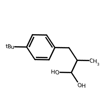 CC(Cc1ccc(C(C)(C)C)cc1)C(O)O